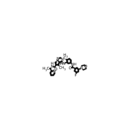 Cc1ccc(NC(=O)c2cc(F)cc(N3CCOCC3)c2)cc1Nc1ncnn2cc(C(=O)NC(C)c3ccccn3)c(C)c12